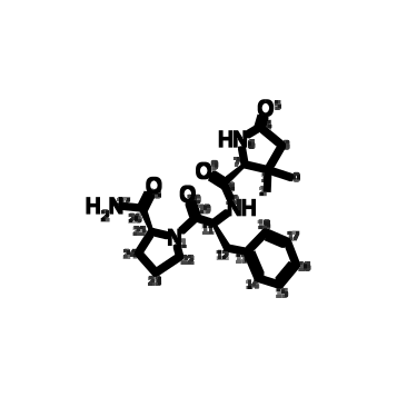 CC1(C)CC(=O)N[C@@H]1C(=O)N[C@@H](Cc1ccccc1)C(=O)N1CCC[C@H]1C(N)=O